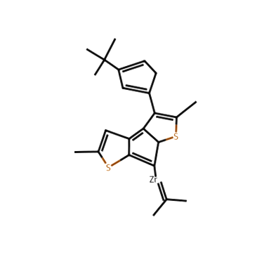 C[C](C)=[Zr][C]1=c2sc(C)cc2=C2C(C3=CC(C(C)(C)C)=CC3)=C(C)SC21